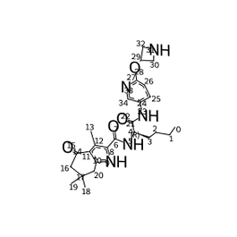 CCCC[C@@H](NC(=O)c1[nH]c2c(c1C)C(=O)CC(C)(C)C2)C(=O)Nc1ccc(OC2CNC2)nc1